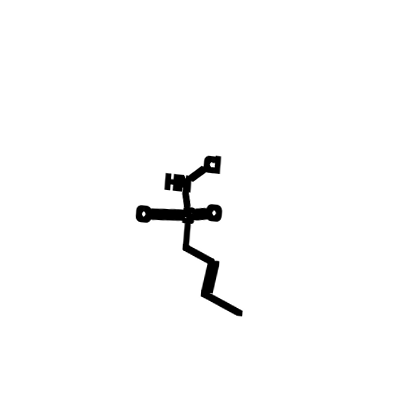 CC=CCS(=O)(=O)NCl